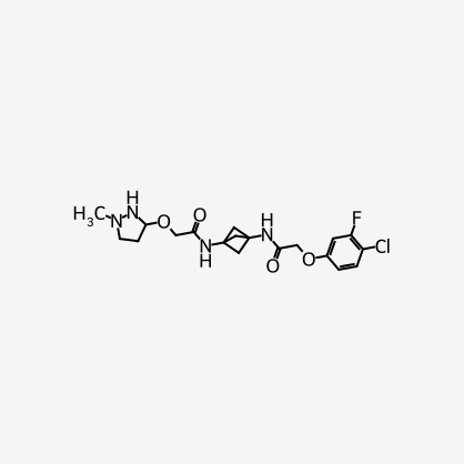 CN1CCC(OCC(=O)NC23CC(NC(=O)COc4ccc(Cl)c(F)c4)(C2)C3)N1